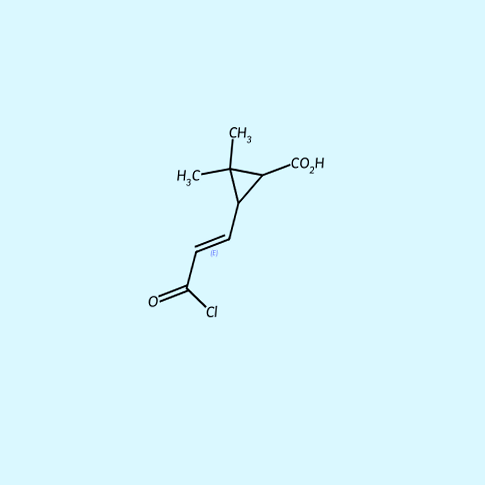 CC1(C)C(/C=C/C(=O)Cl)C1C(=O)O